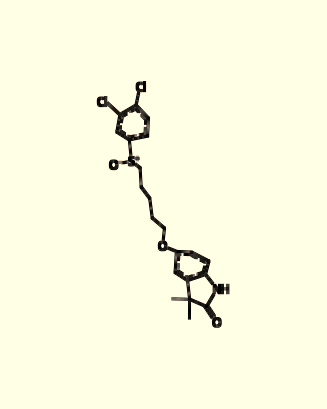 CC1(C)C(=O)Nc2ccc(OCCCCC[S+]([O-])c3ccc(Cl)c(Cl)c3)cc21